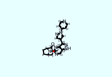 CN1CC2CCC(C1=O)N2c1ncc2[nH]nc(-c3cnn(-c4ccncc4)c3)c2n1